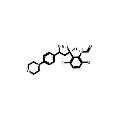 C[C@@](O)(CC(O)c1ccc(N2CCOCC2)cc1)c1c(Cl)ccc(Cl)c1NC=O